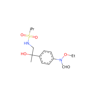 CCON(C=O)c1ccc(C(C)(O)CNS(=O)(=O)C(C)C)cc1